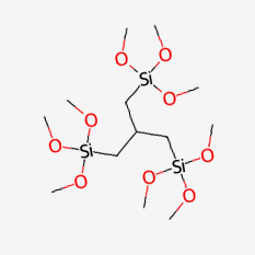 CO[Si](CC(C[Si](OC)(OC)OC)C[Si](OC)(OC)OC)(OC)OC